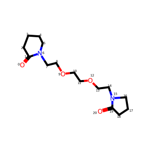 O=C1CCCCN1CCOCCOCCN1CCCC1=O